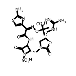 CC(C)(ON=C(C(=O)N[C@@H]1C(=O)N(S(=O)(=O)O)[C@H]1CN1C[C@H](CNC(=N)N)OC1=O)c1csc(N)n1)C(=O)O